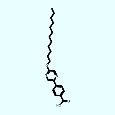 CCCCCCCCCCCCOc1cnc(-c2ccc(C(=O)O)cc2)cn1